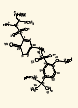 C[CH]CN(C(C)CCCCCC)S(=O)(=O)C1=CC(NS(=O)(=O)c2cc(C(C)(C)CCCCC)ccc2OCCCCCCCC)=CCC1=O